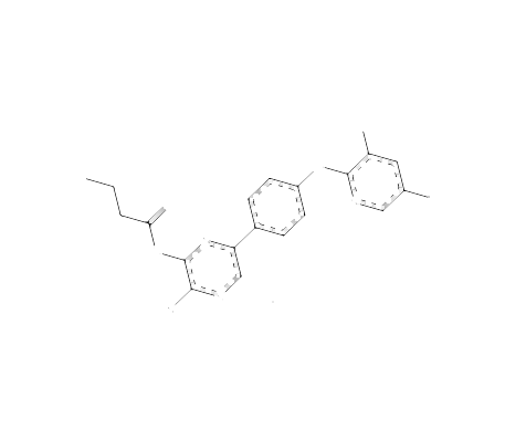 CCCC(=O)Oc1nc(-c2ccc(Oc3ncc(Br)cc3F)cc2)cnc1N.Cl